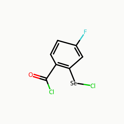 O=C(Cl)c1ccc(F)cc1[Se]Cl